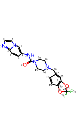 O=C(Nc1ccc2nccn2c1)N1CCN(Cc2ccc3c(c2)OC(F)(F)O3)CC1